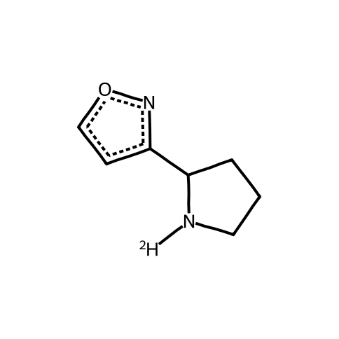 [2H]N1CCCC1c1ccon1